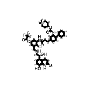 C[N+]1(C)CCC(OC(=O)Nc2cc(CCC(=O)Nc3cccc(CNC[C@H](O)c4ccc(O)c5[nH]c(=O)ccc45)c3Cl)ccc2-c2ccccc2)CC1.O=C([O-])C(F)(F)F